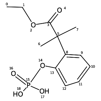 CCOC(=O)C(C)(C)c1ccccc1OP(=O)(O)O